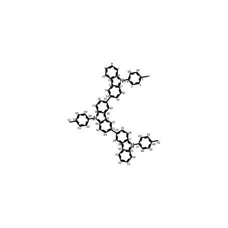 Cc1ccc(-n2c3ccccc3c3cc(-c4ccc5c(c4)c4cc(-c6ccc7c(c6)c6ccccc6n7-c6ccc(C)cc6)ccc4n5-c4ccc(C)cc4)ccc32)cc1